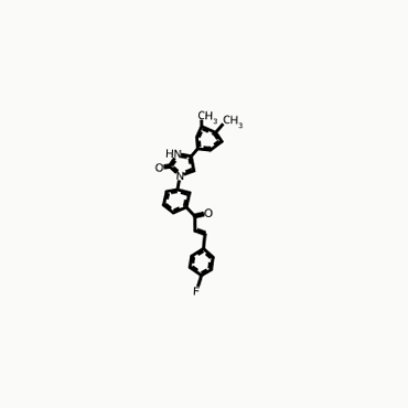 Cc1ccc(-c2cn(-c3cccc(C(=O)/C=C/c4ccc(F)cc4)c3)c(=O)[nH]2)cc1C